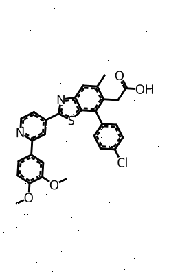 COc1ccc(-c2cc(-c3nc4cc(C)c(CC(=O)O)c(-c5ccc(Cl)cc5)c4s3)ccn2)cc1OC